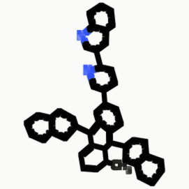 CC1C=CC=C2C(c3ccc4ccccc4c3)=c3cc(-c4ccc(-c5cnc6ccccc6c5)nc4)ccc3=C(c3ccc4ccccc4c3)C21